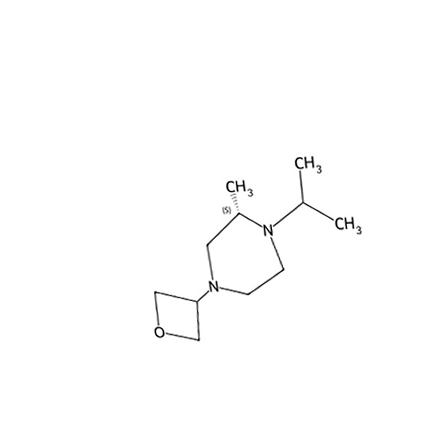 CC(C)N1CCN(C2COC2)C[C@@H]1C